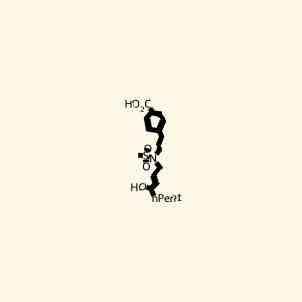 CCCCCC(O)C=CCN(CCCc1ccc(C(=O)O)cc1)S(C)(=O)=O